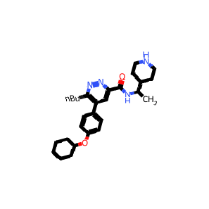 CCCCc1nnc(C(=O)NC(C)C2CCNCC2)cc1-c1ccc(OC2CCCCC2)cc1